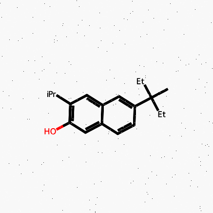 CCC(C)(CC)c1ccc2cc(O)c(C(C)C)cc2c1